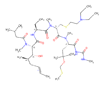 C/C=C/C[C@@H](C)[C@@H](O)[C@@H](C(=O)N[C@@H](CC)C(=O)N(C)[C@H](CSCCN(CC)CC)C(=O)N(C)[C@@H](CC(C)(C)OCSC)C(=O)NC(=O)NC)N(C)C(=O)CC(C)C